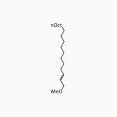 CCCCCCCCCCCCCCCCC=C[CH]OC